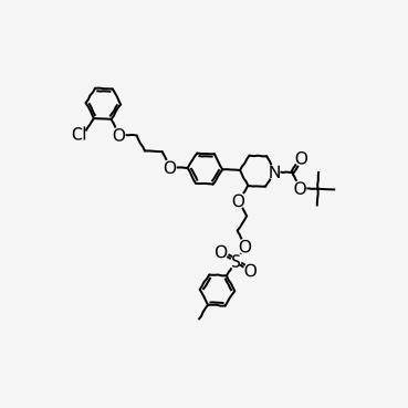 Cc1ccc(S(=O)(=O)OCCOC2CN(C(=O)OC(C)(C)C)CCC2c2ccc(OCCCOc3ccccc3Cl)cc2)cc1